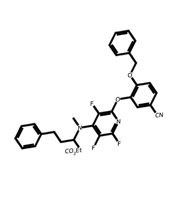 CCOC(=O)C(CCc1ccccc1)N(C)c1c(F)c(F)nc(Oc2cc(C#N)ccc2OCc2ccccc2)c1F